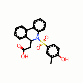 Cc1cc(S(=O)(=O)N2c3ccccc3-c3ccccc3C2CC(=O)O)ccc1O